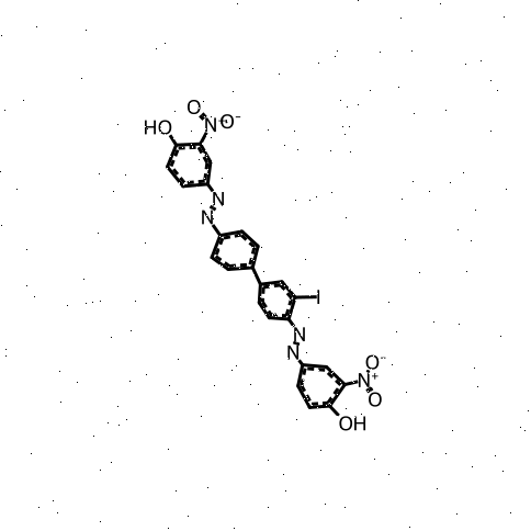 O=[N+]([O-])c1cc(N=Nc2ccc(-c3ccc(N=Nc4ccc(O)c([N+](=O)[O-])c4)c(I)c3)cc2)ccc1O